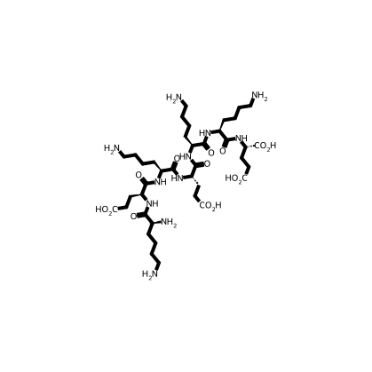 NCCCC[C@H](NC(=O)[C@H](CCCCN)NC(=O)[C@H](CCC(=O)O)NC(=O)[C@H](CCCCN)NC(=O)[C@H](CCC(=O)O)NC(=O)[C@@H](N)CCCCN)C(=O)N[C@@H](CCC(=O)O)C(=O)O